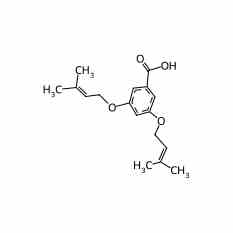 CC(C)=CCOc1cc(OCC=C(C)C)cc(C(=O)O)c1